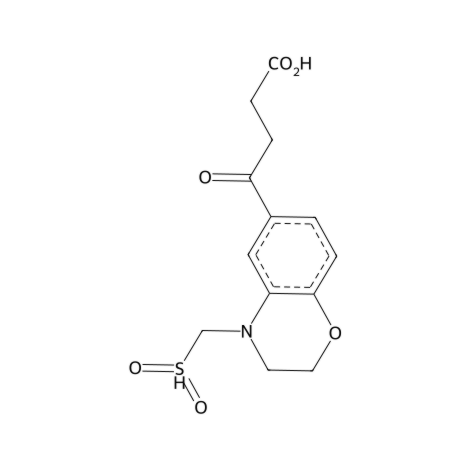 O=C(O)CCC(=O)c1ccc2c(c1)N(C[SH](=O)=O)CCO2